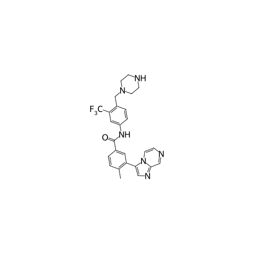 Cc1ccc(C(=O)Nc2ccc(CN3CCNCC3)c(C(F)(F)F)c2)cc1-c1cnc2cnccn12